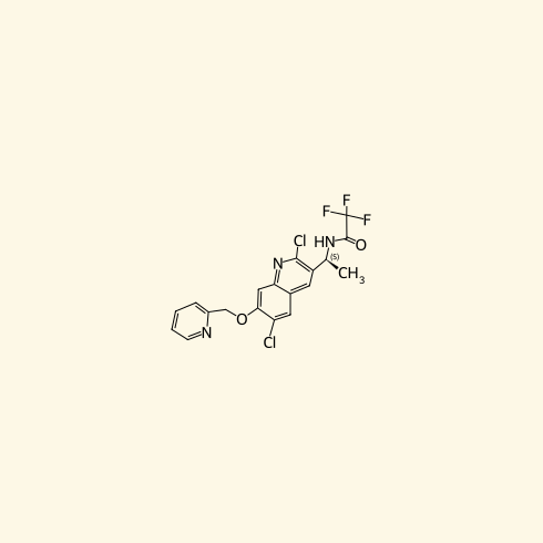 C[C@H](NC(=O)C(F)(F)F)c1cc2cc(Cl)c(OCc3ccccn3)cc2nc1Cl